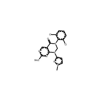 CSc1ncc2c(n1)N(c1ccn(C)n1)CN(c1c(Cl)cccc1Cl)C2=O